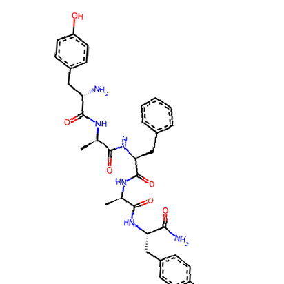 C[C@@H](NC(=O)[C@H](Cc1ccccc1)NC(=O)[C@@H](C)NC(=O)[C@@H](N)Cc1ccc(O)cc1)C(=O)N[C@@H](Cc1ccc(O)cc1)C(N)=O